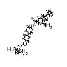 BC(B)(B)OCCOc1ccc(N2CCN(CCN(C)c3cc4nc(-c5ncco5)nn4c(N)n3)CC2)cc1